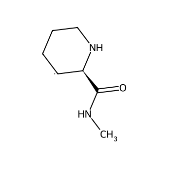 CNC(=O)[C@H]1[CH]CCCN1